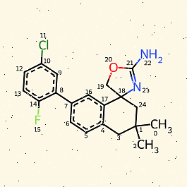 CC1(C)Cc2ccc(-c3cc(Cl)ccc3F)cc2C2(COC(N)=N2)C1